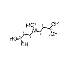 OC(O)CCN(O)CCC(O)O